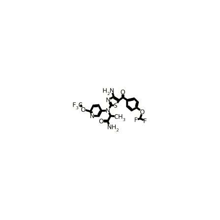 CC(C(N)=O)N(c1ccc(OC(F)(F)F)nc1)c1nc(N)c(C(=O)c2ccc(OC(F)F)cc2)s1